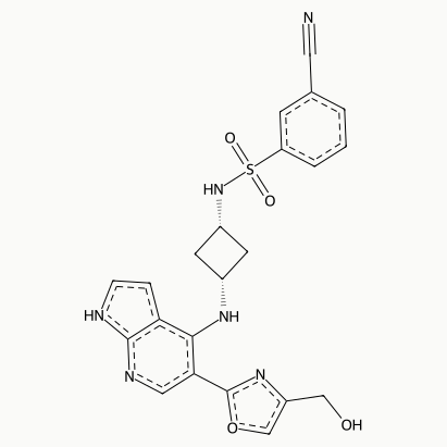 N#Cc1cccc(S(=O)(=O)N[C@H]2C[C@@H](Nc3c(-c4nc(CO)co4)cnc4[nH]ccc34)C2)c1